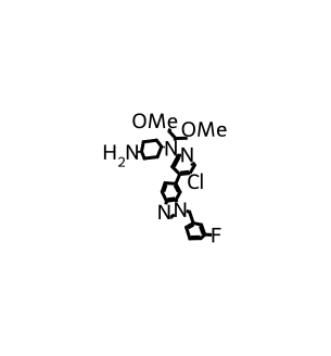 COCC(COC)N(c1cc(-c2ccc3ncn(Cc4cccc(F)c4)c3c2)c(Cl)cn1)[C@H]1CC[C@H](N)CC1